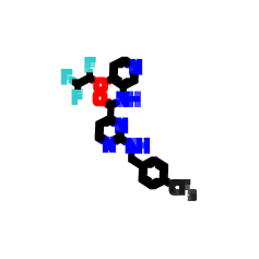 O=C(Nc1cnccc1OC(F)C(F)F)c1ccnc(NCc2ccc(C(F)(F)F)cc2)n1